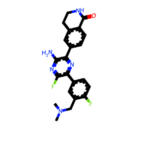 CN(C)Cc1cc(-c2nc(-c3ccc4c(c3)CCNC4=O)c(N)nc2F)ccc1F